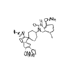 COc1ccc(C2(C(N)=O)CCC(N3Cc4c(C)ccc(OC)c4NC3=O)CC2)cc1Cl